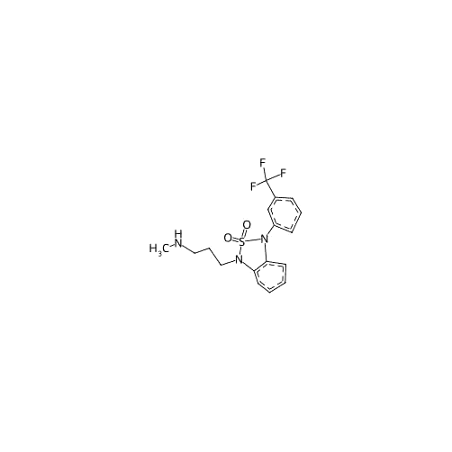 CNCCCN1c2ccccc2N(c2cccc(C(F)(F)F)c2)S1(=O)=O